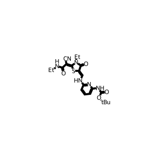 CCNC(=O)C(C#N)=c1sc(=CNc2cccc(NC(=O)OC(C)(C)C)n2)c(=O)n1CC